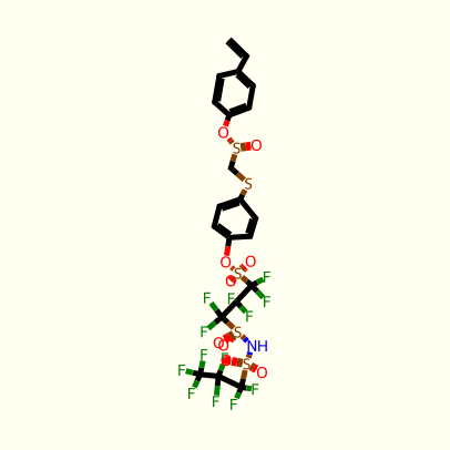 C=Cc1ccc(OS(=O)CSc2ccc(OS(=O)(=O)C(F)(F)C(F)(F)C(F)(F)S(=O)(=O)NS(=O)(=O)C(F)(F)C(F)(F)C(F)(F)F)cc2)cc1